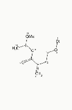 C=C(CCOCC)C(=O)OC(C)OC